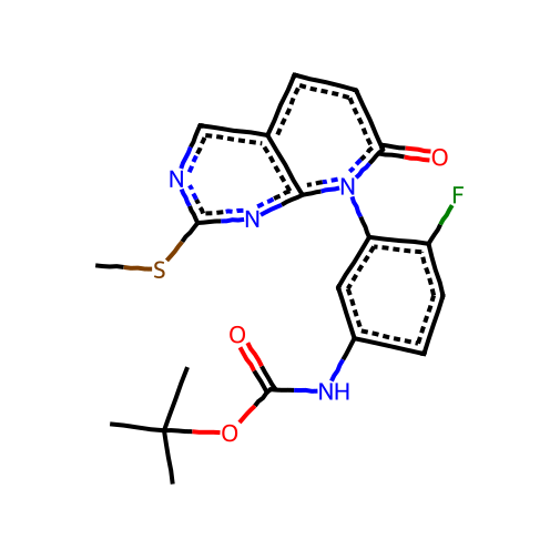 CSc1ncc2ccc(=O)n(-c3cc(NC(=O)OC(C)(C)C)ccc3F)c2n1